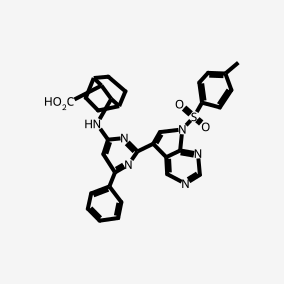 Cc1ccc(S(=O)(=O)n2cc(-c3nc(NC4C5CCC(CC5)C4C(=O)O)cc(-c4ccccc4)n3)c3cncnc32)cc1